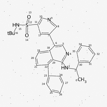 CC(Nc1ncc(-c2cncc(S(=O)(=O)NC(C)(C)C)c2)c2cccc(-c3ccccc3)c12)c1ccccc1